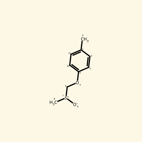 Cc1ccc(OC[S+](C)[O-])cc1